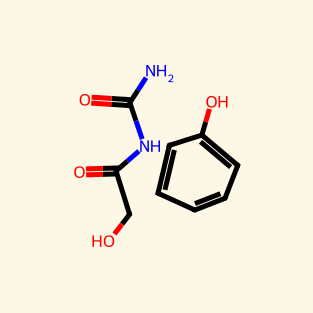 NC(=O)NC(=O)CO.Oc1ccccc1